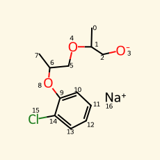 CC(C[O-])OCC(C)Oc1ccccc1Cl.[Na+]